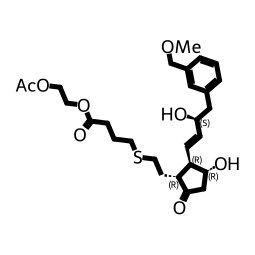 COCc1cccc(C[C@H](O)C=C[C@H]2[C@H](O)CC(=O)[C@@H]2CCSCCCC(=O)OCCOC(C)=O)c1